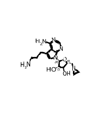 NCCCc1cn([C@@H]2O[C@H](CN3CC3)C(O)[C@@H]2O)c2ncnc(N)c12